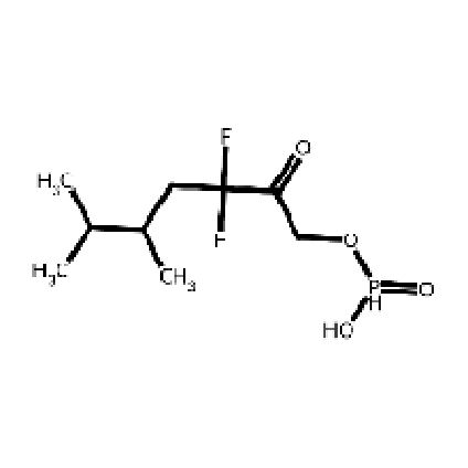 CC(C)C(C)CC(F)(F)C(=O)CO[PH](=O)O